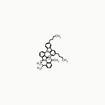 CCCCc1ccc2c(c1)c1cc(CCCC)ccc1n2-c1cccc2c1C(=O)N(c1c(C(C)C)cccc1C(C)C)C2=O